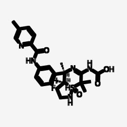 Cc1ccc(C(=O)Nc2ccc(F)c([C@@]3(C)N=C(NC(=O)O)C(C)(C)[SH]4(=O)NCC[C@@H]34)c2)nc1